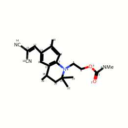 CNC(=O)OCCN1c2cc(C)c(C=C(C#N)C#N)cc2C(C)CC1(C)C